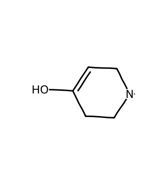 OC1=CC[N]CC1